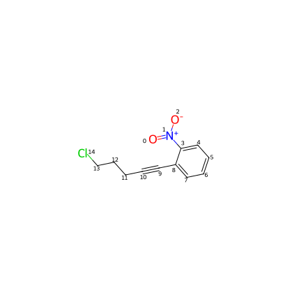 O=[N+]([O-])c1ccccc1C#CCCCCl